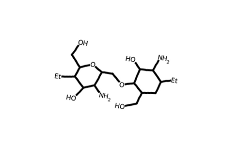 CCC1CC(CO)C(OCC2OC(CO)C(CC)C(O)C2N)C(O)C1N